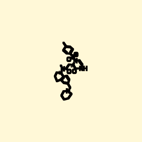 Cc1ccc(S(=O)(=O)N2C=CNC(=O)[C@H]2CC(=O)N(C)[C@@H]2CCCc3cc(CN4CCCCC4)ccc32)cc1